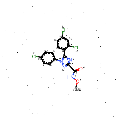 CC(C)(C)ONC(=O)c1nc(-c2ccc(Cl)cc2Cl)n(-c2ccc(Cl)cc2)n1